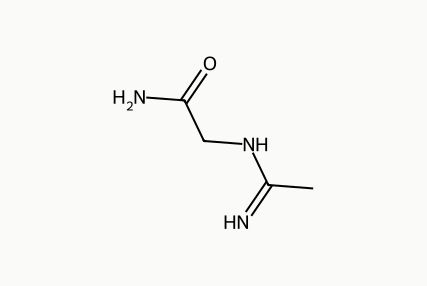 CC(=N)NCC(N)=O